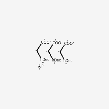 CCCCCCCCCCCC(=O)[O-].CCCCCCCCCCCC(=O)[O-].CCCCCCCCCCCC(=O)[O-].[Al+3]